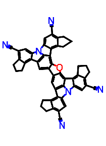 N#Cc1cc2c(c3c1CCC3)c1cc3c4cc5c6c7c(c(C#N)cc6n6c8cc(C#N)c9c(c8c(c4oc3c3c4c8c(c(C#N)cc4n2c13)CCC8)c56)CCC9)CCC7